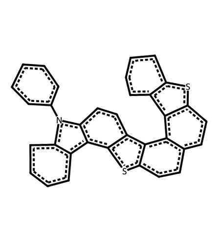 c1ccc(-n2c3ccccc3c3c4sc5ccc6ccc7sc8ccccc8c7c6c5c4ccc32)cc1